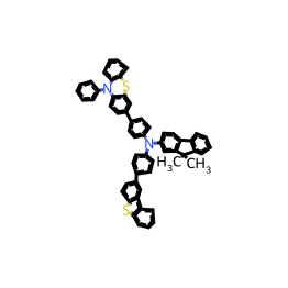 CC1(C)c2ccccc2-c2ccc(N(c3ccc(-c4ccc5c(c4)Sc4ccccc4N5c4ccccc4)cc3)c3ccc(-c4ccc5sc6ccccc6c5c4)cc3)cc21